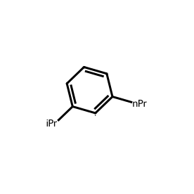 CCCc1[c]c(C(C)C)ccc1